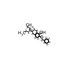 CCCN(CCC)C1CCc2c(ccc(OCc3ccccc3)c2O)C1